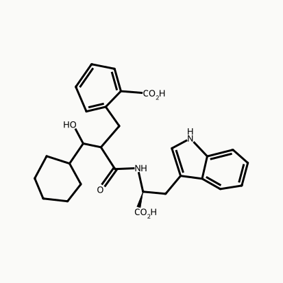 O=C(O)c1ccccc1CC(C(=O)N[C@@H](Cc1c[nH]c2ccccc12)C(=O)O)C(O)C1CCCCC1